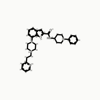 O=C(NC1CCN(c2ccccc2)CC1)c1cc2cccc(N3CCN(CCc4ccccn4)CC3)c2o1